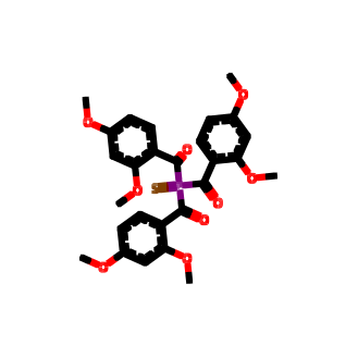 COc1ccc(C(=O)P(=S)(C(=O)c2ccc(OC)cc2OC)C(=O)c2ccc(OC)cc2OC)c(OC)c1